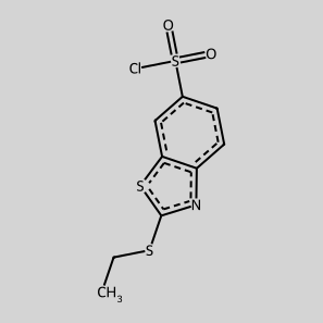 CCSc1nc2ccc(S(=O)(=O)Cl)cc2s1